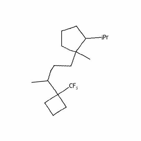 CC(C)C1CCCC1(C)CCC(C)C1(C(F)(F)F)CCC1